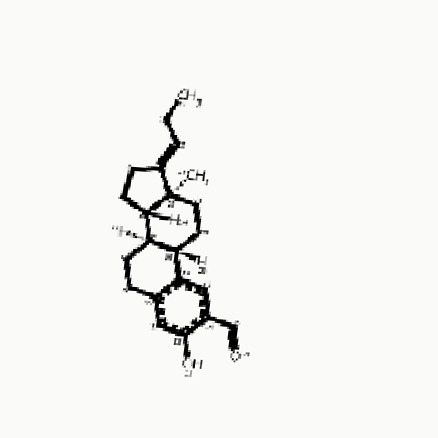 CCC=C1CC[C@H]2[C@@H]3CCc4cc(O)c(C=O)cc4[C@H]3CC[C@]12C